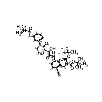 CN(C)C(=O)Cc1cccc(N2CCO[C@H]([C@@H](O)C(=O)Nc3ccc(C#N)c(CN(C(=O)OC(C)(C)C)C(=O)OC(C)(C)C)c3)C2=O)c1